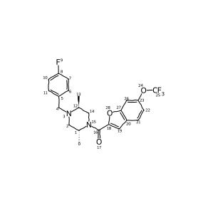 C[C@@H]1CN(Cc2ccc(F)cc2)[C@@H](C)CN1C(=O)c1cc2ccc(OC(F)(F)F)cc2o1